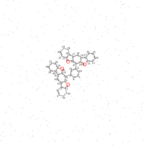 C1=Cc2c(oc3c(-c4cccc(-c5c6oc7c(c6cc6c5oc5ccccc56)CCC=C7)c4)c4oc5ccccc5c4cc23)CC1